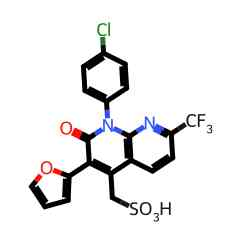 O=c1c(-c2ccco2)c(CS(=O)(=O)O)c2ccc(C(F)(F)F)nc2n1-c1ccc(Cl)cc1